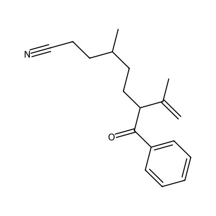 C=C(C)C(CCC(C)CCC#N)C(=O)c1ccccc1